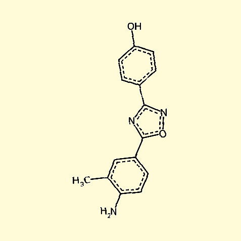 Cc1cc(-c2nc(-c3ccc(O)cc3)no2)ccc1N